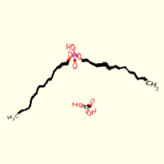 CCCCCCCCCCCCCOP(=O)(O)OCCCCCCCCCCCCC.[O]=[Ti]([OH])[OH]